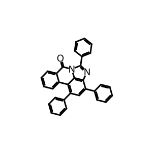 O=c1c2ccccc2c2c(-c3ccccc3)cc(-c3ccccc3)c3nc(-c4ccccc4)n1c32